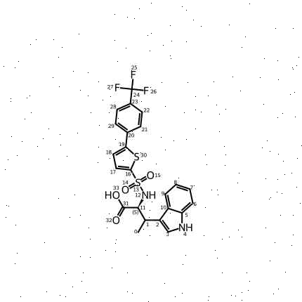 CC(c1c[nH]c2ccccc12)[C@H](NS(=O)(=O)c1ccc(-c2ccc(C(F)(F)F)cc2)s1)C(=O)O